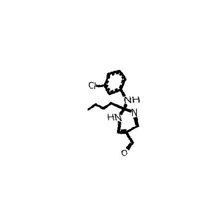 CCCCC1(Nc2cccc(Cl)c2)N=CC(C=O)=CN1